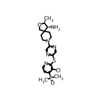 C[C@@H]1OCC2(CCN(c3cnc(Sc4nccc(P(C)(C)=O)c4Cl)cn3)CC2)[C@@H]1N